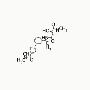 C[C@@H](NC(=O)C1=C(O)C(=O)N(C)C1)c1cccc(-c2ccc(C(=O)N(C)C)cc2)c1